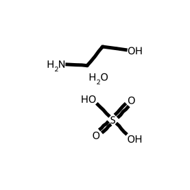 NCCO.O.O=S(=O)(O)O